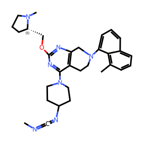 CN=C=NC1CCN(c2nc(OC[C@@H]3CCCN3C)nc3c2CCN(c2cccc4cccc(C)c24)C3)CC1